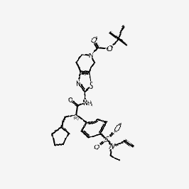 CCN(CC)S(=O)(=O)c1ccc([C@@H](CC2CCCC2)C(=O)Nc2nc3c(s2)CN(C(=O)OC(C)(C)C)CC3)cc1